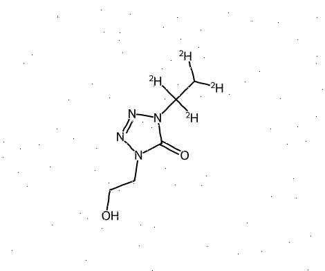 [2H]C([2H])C([2H])([2H])n1nnn(CCO)c1=O